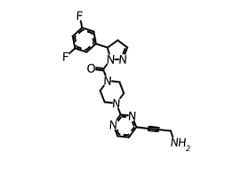 NCC#Cc1ccnc(N2CCN(C(=O)N3N=CCC3c3cc(F)cc(F)c3)CC2)n1